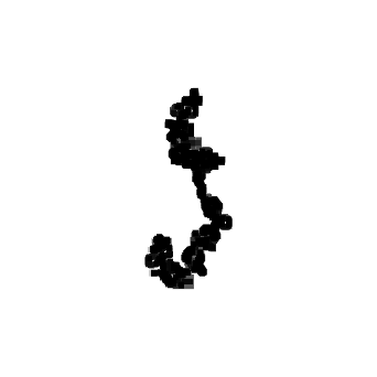 Cc1c(Nc2ncnc3cc(OCCCN4CCN(C(=O)c5cnc(N6CCN(C[C@H]7CN(C(=O)OC(C)(C)C)[C@H](C)CN7)C(C)C6)nc5)CC4)c(S(=O)(=O)C(C)(C)C)cc23)nn(C(=O)OC(C)(C)C)c1C